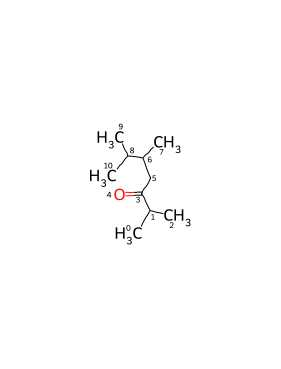 CC(C)C(=O)CC(C)C(C)C